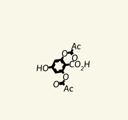 CC(=O)C(=O)Oc1cc(O)cc(OC(=O)C(C)=O)c1C(=O)O